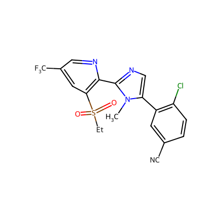 CCS(=O)(=O)c1cc(C(F)(F)F)cnc1-c1ncc(-c2cc(C#N)ccc2Cl)n1C